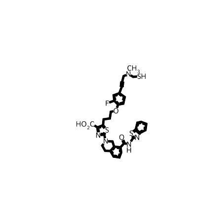 CN(CS)CC#Cc1ccc(OCCCc2sc(N3CCc4cccc(C(=O)Nc5nc6ccccc6s5)c4C3)nc2C(=O)O)c(F)c1